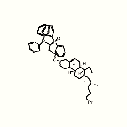 CC(C)CCC[C@@H](C)[C@H]1CC[C@H]2[C@@H]3CC=C4C[C@@H](OCCC(P(c5ccccc5)c5ccccc5)P(=O)(c5ccccc5)c5ccccc5)CC[C@]4(C)[C@H]3CC[C@]12C